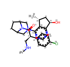 CC(C)NC[C@@H](C(=O)N1C2CCC1CN(c1ncnc3c1[C@H](C)C[C@H]3O)C2)c1ccc(Cl)cc1